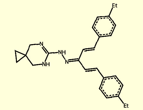 CCc1ccc(C=CC(C=Cc2ccc(CC)cc2)=NNC2=NCC3(CC3)CN2)cc1